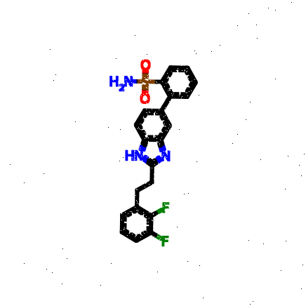 NS(=O)(=O)c1ccccc1-c1ccc2[nH]c(CCc3cccc(F)c3F)nc2c1